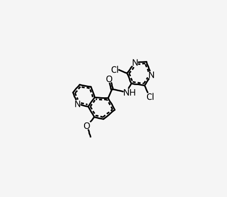 COc1ccc(C(=O)Nc2c(Cl)ncnc2Cl)c2cccnc12